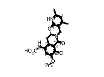 Cc1cc(C)c(CN2CCc3c(NC(=O)O)cc(OC(C)C)c(Cl)c3C2=O)c(=O)[nH]1